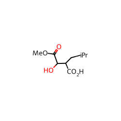 COC(=O)C(O)C(CC(C)C)C(=O)O